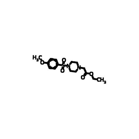 CCOC(=O)CN1CCN(S(=O)(=O)c2ccc(OC)cc2)CC1